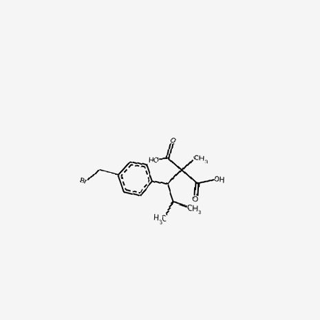 CC(C)C(c1ccc(CBr)cc1)C(C)(C(=O)O)C(=O)O